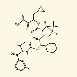 Cc1cccc(C(=O)[C@@H](NC(=O)N[C@H](C(=O)N2C[C@H]3[C@@H]([C@H]2C(=O)NC(CC2CC2)C(=O)C(N)=O)C3(C)C)C2CCCCC2)C(C)C)n1